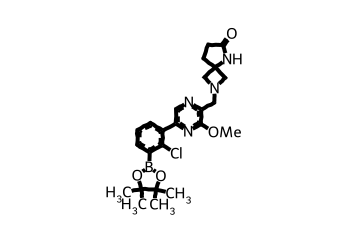 COc1nc(-c2cccc(B3OC(C)(C)C(C)(C)O3)c2Cl)cnc1CN1CC2(CCC(=O)N2)C1